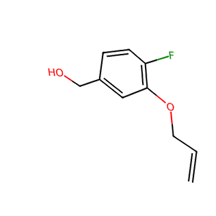 C=CCOc1cc(CO)ccc1F